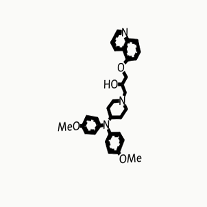 COc1ccc(N(c2ccc(OC)cc2)C2CCN(CC(O)COc3cccc4ncccc34)CC2)cc1